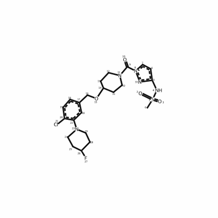 CS(=O)(=O)Nc1ccn(C(=O)N2CCC(OCc3ccc(Cl)c(N4CCC(F)CC4)c3)CC2)n1